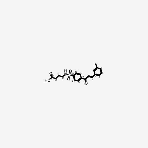 Cc1cccc(C=CC(=O)c2ccc(S(=O)(=O)NCCCC(=O)O)cc2)c1